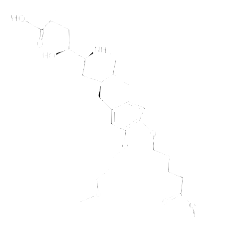 COCCCOc1cc(C[C@@H](C[C@H](N)[C@@H](O)C[C@@H](C)C(=O)O)C(C)C)ccc1OCCCCC(=O)OC